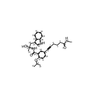 CNC(=O)CCCC#Cc1ccc(OC(C)C)c(C(=O)N[C@](C)(O)Cc2c[nH]c3ccccc23)c1